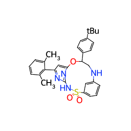 Cc1cccc(C)c1-c1cc2nc(n1)NS(=O)(=O)c1cccc(c1)NCC(c1ccc(C(C)(C)C)cc1)O2